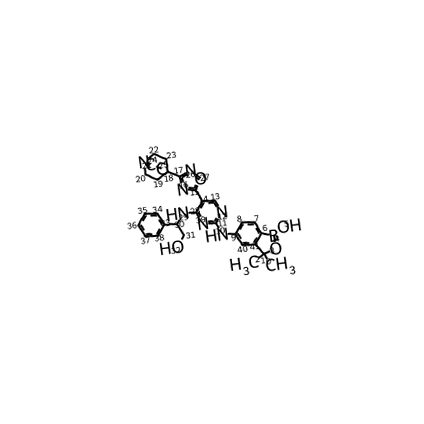 CC1(C)OB(O)c2ccc(Nc3ncc(-c4nc(C56CCN(CC5)CC6)no4)c(NC(CO)c4ccccc4)n3)cc21